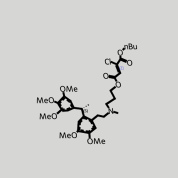 CCCCOC(=O)/C(Cl)=C/C(=O)OCCCN(C)CCc1cc(OC)c(OC)cc1[C@@H](C)c1cc(OC)c(OC)c(OC)c1